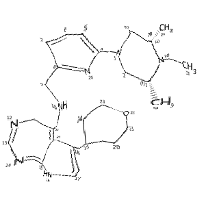 C[C@@H]1CN(c2cccc(CNc3ncnc4[nH]cc(C5CCOCC5)c34)n2)C[C@H](C)N1C